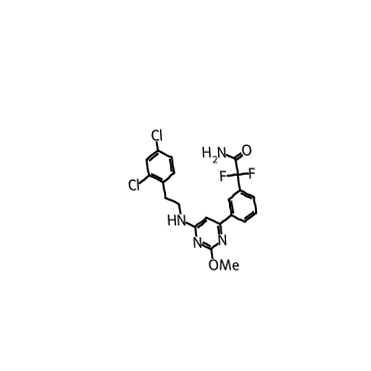 COc1nc(NCCc2ccc(Cl)cc2Cl)cc(-c2cccc(C(F)(F)C(N)=O)c2)n1